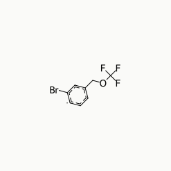 FC(F)(F)OCc1cc[c]c(Br)c1